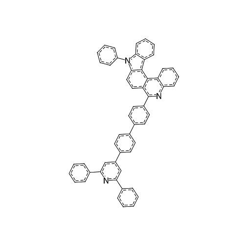 c1ccc(-c2cc(-c3ccc(-c4ccc(-c5nc6ccccc6c6c5ccc5c6c6ccccc6n5-c5ccccc5)cc4)cc3)cc(-c3ccccc3)n2)cc1